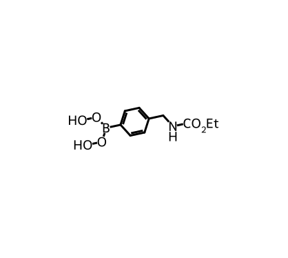 CCOC(=O)NCc1ccc(B(OO)OO)cc1